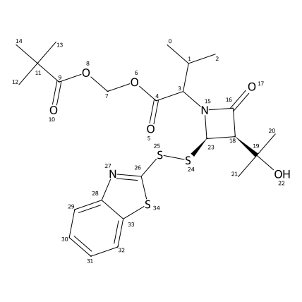 CC(C)C(C(=O)OCOC(=O)C(C)(C)C)N1C(=O)[C@@H](C(C)(C)O)[C@H]1SSc1nc2ccccc2s1